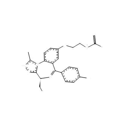 CC(=O)C[C@@H]1N=C(c2ccc(Cl)cc2)c2cc(OCCNC(=O)C(C)C)ccc2-n2c(C)nnc21